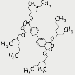 CCCCC(CC)COC(=O)c1ccc(-c2ccc(C(=O)OCC(CC)CCCC)c(C(=O)OCC(CC)CCCC)c2)cc1C(=O)OCC(CC)CCCC